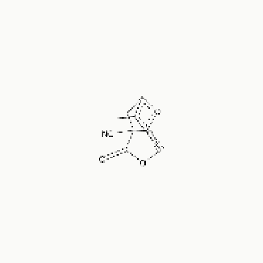 Cc1c2oc3c1OC(=O)C3(C#N)C2